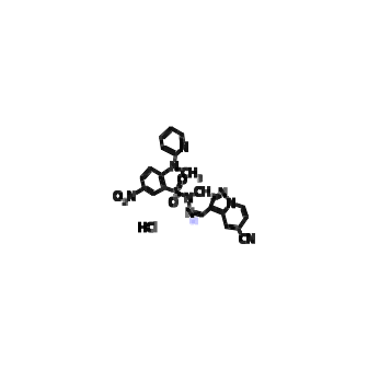 CN(c1ccccn1)c1ccc([N+](=O)[O-])cc1S(=O)(=O)N(C)/N=C\c1cnn2ccc(C#N)cc12.Cl